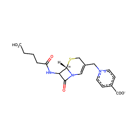 O=C(O)CCCC(=O)NC1C(=O)N2C=C(C[n+]3ccc(C(=O)[O-])cc3)CS[C@@H]12